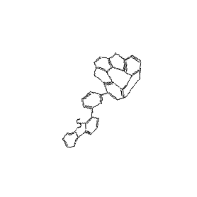 c1cc(-c2cc3c4c5c(ccc6c5c5c(ccc7c5c4c2C7)C6)C3)cc(-c2cccc3c2sc2ccccc23)c1